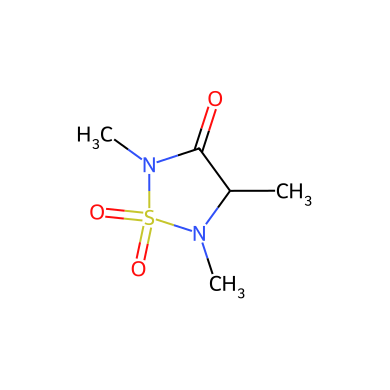 CC1C(=O)N(C)S(=O)(=O)N1C